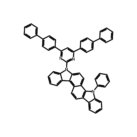 c1ccc(-c2ccc(-c3cc(-c4ccc(-c5ccccc5)cc4)nc(-n4c5ccccc5c5c6ccc7c8ccccc8n(-c8ccccc8)c7c6ccc54)n3)cc2)cc1